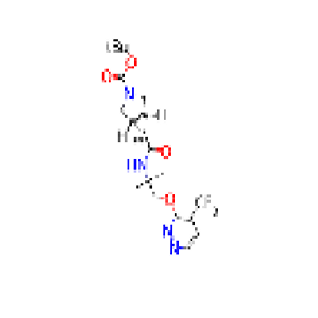 CC(C)(COc1nnccc1C(F)(F)F)NC(=O)[C@H]1[C@@H]2CN(C(=O)OC(C)(C)C)C[C@@H]21